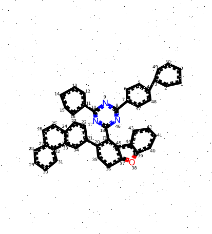 c1ccc(-c2ccc(-c3nc(-c4ccccc4)nc(-c4c(-c5ccc6ccc7ccccc7c6c5)ccc5oc6ccccc6c45)n3)cc2)cc1